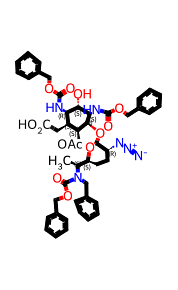 CC(=O)O[C@H]1[C@@H](CC(=O)O)[C@@H](NC(=O)OCc2ccccc2)[C@H](O)[C@H](NC(=O)OCc2ccccc2)[C@H]1OC1O[C@H]([C@H](C)N(Cc2ccccc2)C(=O)OCc2ccccc2)CC[C@H]1N=[N+]=[N-]